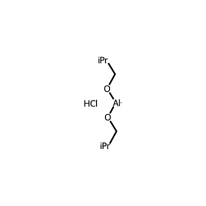 CC(C)C[O][Al][O]CC(C)C.Cl